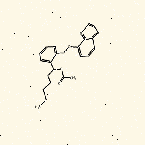 CCCCCC(OC(C)=O)c1ccccc1COc1cccc2cccnc12